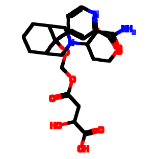 NC(=O)c1cc(C2(OCOC(=O)CC(O)C(=O)O)C3CCCC2CN(C2CCOCC2)C3)ccn1